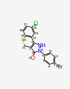 O=c1c2c([nH]n1-c1ccc(Br)cc1)-c1cc(Cl)ccc1SC2